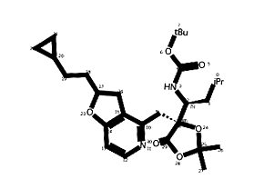 CC(C)C[C@H](NC(=O)OC(C)(C)C)[C@@]1(Cc2nccc3c2CC(CCC2CC2)O3)OC(C)(C)OC1=O